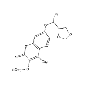 CCCCCCCCOc1c(O)c2ccc(OC(C(C)C)C3COCO3)cc2oc1=O